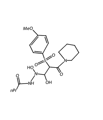 CCCC(=O)NN(O)C(O)C(C(=O)N1CCCCC1)S(=O)(=O)c1ccc(OC)cc1